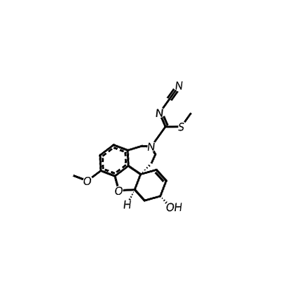 COc1ccc2c3c1O[C@@H]1C[C@@H](O)C=C[C@]31CCN(/C(=N/C#N)SC)C2